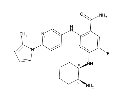 Cc1nccn1-c1ccc(Nc2nc(N[C@@H]3CCCC[C@@H]3N)c(F)cc2C(N)=O)cn1